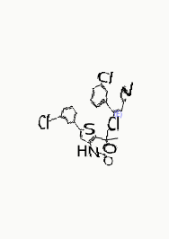 CC1(C)OC(=O)Nc2cc(-c3cccc(Cl)c3)sc21.N#C/C=C(/Cl)c1cccc(Cl)c1